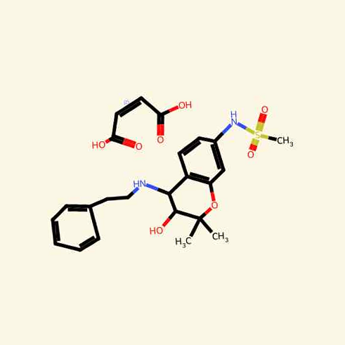 CC1(C)Oc2cc(NS(C)(=O)=O)ccc2C(NCCc2ccccc2)C1O.O=C(O)/C=C\C(=O)O